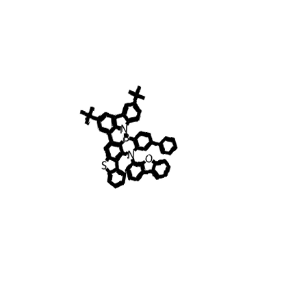 CC(C)(C)c1ccc2c(c1)c1cc(C(C)(C)C)cc3c1n2B1c2ccc(-c4ccccc4)cc2N(c2cccc4c2oc2ccccc24)c2c1c-3cc1sc3ccccc3c21